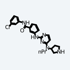 CCCN(c1ccnc(Nc2cccc(C(=O)Nc3cccc(Cl)c3)c2)n1)C1CCNC1